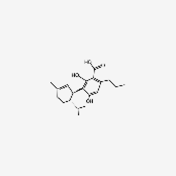 CCCc1cc(O)c([C@@H]2C=C(C)CC[C@H]2C(C)C)c(O)c1C(=O)O